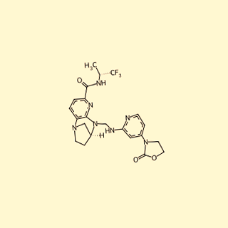 C[C@@H](NC(=O)c1ccc2c(n1)N(CNc1cc(N3CCOC3=O)ccn1)[C@H]1CCN2C1)C(F)(F)F